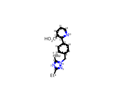 CCCCc1nc(CC)nn1Cc1ccc(-c2ncccc2C(=O)O)cc1